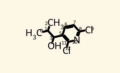 CC(C)C(O)c1ccc(Cl)nc1Cl